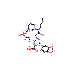 CCCCN(C(=O)CN1C[C@H](c2ccc3c(c2)OCO3)[C@@H](C(=O)O)[C@@H]1CCNS(C)(=O)=O)c1ccc[n+](C)c1